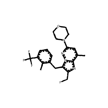 Cc1c(Cc2c(CF)nc3c(C)cc(N4CCOCC4)nn23)cccc1C(F)(F)F